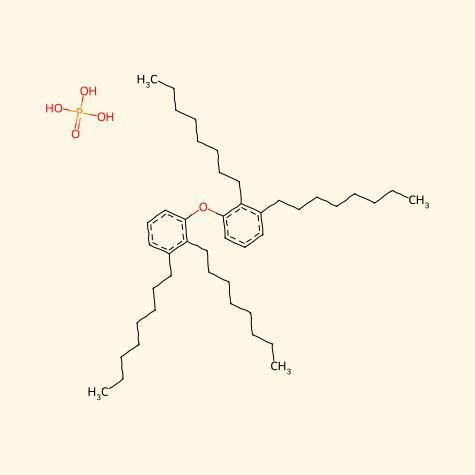 CCCCCCCCc1cccc(Oc2cccc(CCCCCCCC)c2CCCCCCCC)c1CCCCCCCC.O=P(O)(O)O